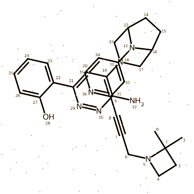 CC1(C)CCN1CC#Cc1cc(N2C3CCC2CN(c2cc(-c4ccccc4O)nnc2N)C3)ccn1